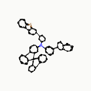 c1cc(-c2ccc3ccccc3c2)cc(N(c2cccc(-c3ccc4c(c3)sc3ccccc34)c2)c2ccc3c(c2)C2(c4ccccc4-c4ccccc42)c2ccccc2-3)c1